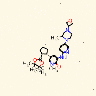 C[C@H]1CN(C2COC2)CCN1c1ccc(Nc2cc([C@H]3CCC[C@@H]3B3OC(C)(C)C(C)(C)O3)cn(C)c2=O)nc1